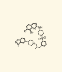 CC(Cc1cccc(S(=O)(=O)N2CCC(Nc3ncc4ccc(=O)n(C(C)C)c4n3)CC2)c1)CN1CCC(c2ccc3cnn(C)c3c2)CC1